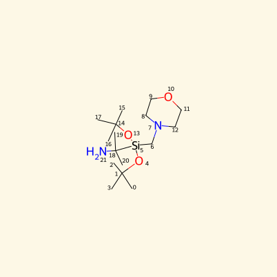 CC(C)(C)O[Si](CN1CCOCC1)(OC(C)(C)C)C(C)(C)N